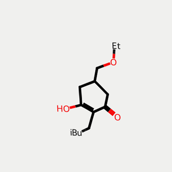 CCOCC1CC(=O)C(CC(C)CC)=C(O)C1